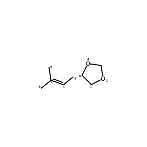 C1COCO1.CC=C(C)C